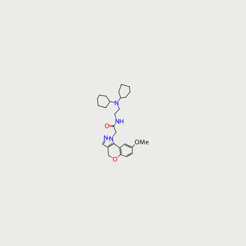 COc1ccc2c(c1)-c1c(cnn1CC(=O)NCCN(C1CCCCC1)C1CCCCC1)CO2